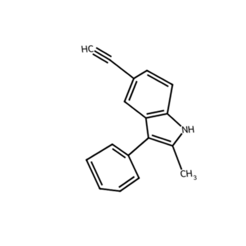 C#Cc1ccc2[nH]c(C)c(-c3ccccc3)c2c1